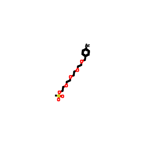 CC(=O)c1ccc(COCCOCCOCCOCCOS(C)(=O)=O)cc1